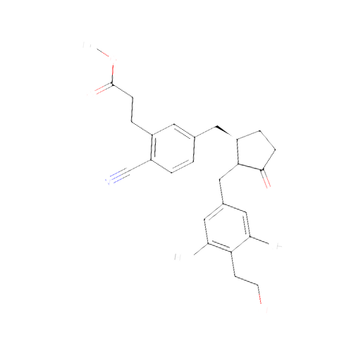 COC(=O)CCc1cc(C[C@H]2CCC(=O)C2Cc2cc(C)c(CCO)c(C)c2)ccc1C#N